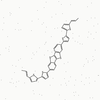 CC=Cc1ccc(-c2ccc(-c3ccc4c(c3)sc3c5ccc(-c6ccc(-c7ccc(C=CC)s7)s6)cc5sc43)s2)s1